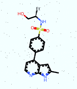 CC[C@H](CO)NS(=O)(=O)c1ccc(-c2ccnc3[nH]c(C)cc23)cc1